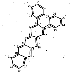 c1ccc(-c2cc3cc4cc5ccccc5cc4cc3cc2-c2ccccc2)cc1